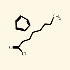 CCCCCCCC(=O)Cl.c1ccccc1